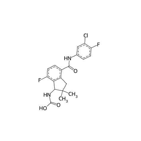 CC1(C)Cc2c(C(=O)Nc3ccc(F)c(Cl)c3)ccc(F)c2C1NC(=O)O